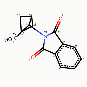 O=C1c2ccccc2C(=O)N1C1C2CC1(C(=O)O)C2